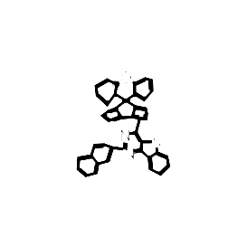 C[C@@]12C=CC=CC1C1(c3ccccc3O2)c2ccccc2-c2c(-c3nc(-c4ccc5ccccc5c4)nc4c3sc3ccccc34)cccc21